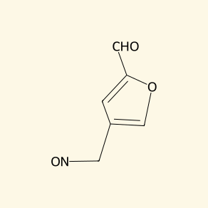 O=Cc1cc(CN=O)co1